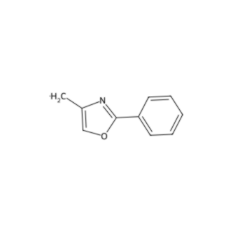 [CH2]c1coc(-c2ccccc2)n1